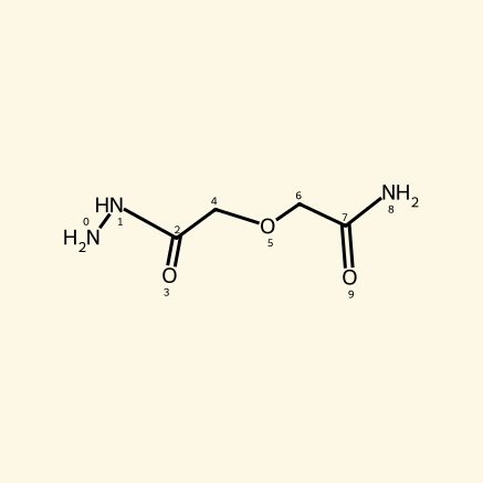 NNC(=O)COCC(N)=O